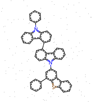 c1ccc(-c2cc(-n3c4ccccc4c4c(-c5cccc6c5c5ccccc5n6-c5ccccc5)cccc43)cc3c2sc2ccccc23)cc1